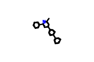 Cc1cc(-c2ccc(-c3ccccc3)cc2)cc(-c2ccccc2)n1